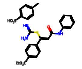 CCOC(=O)c1ccc(C(=CC(=O)Nc2ccccc2)SC(=N)N)cc1.Cc1ccc(S(=O)(=O)O)cc1